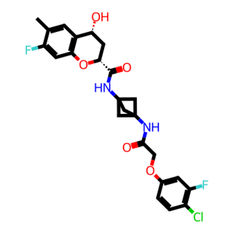 Cc1cc2c(cc1F)O[C@@H](C(=O)NC13CC(NC(=O)COc4ccc(Cl)c(F)c4)(C1)C3)C[C@H]2O